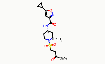 COC(=O)CCS(=O)(=O)N1CC[C@H](NC(=O)c2cc(C3CC3)on2)C[C@@H]1C